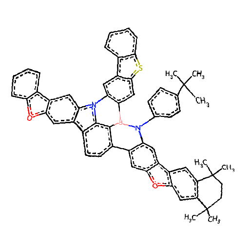 CC(C)(C)c1ccc(N2B3c4cc5sc6ccccc6c5cc4-n4c5cc6c(cc5c5ccc(c3c54)-c3cc4oc5cc7c(cc5c4cc32)C(C)(C)CCC7(C)C)oc2ccccc26)cc1